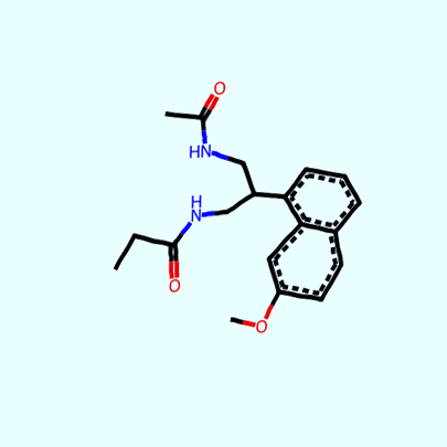 CCC(=O)NCC(CNC(C)=O)c1cccc2ccc(OC)cc12